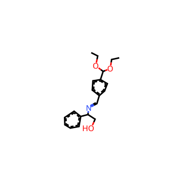 CCOC(OCC)c1ccc(C=NC(CO)c2ccccc2)cc1